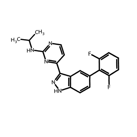 CC(C)Nc1nccc(-c2n[nH]c3ccc(-c4c(F)cccc4F)cc23)n1